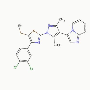 Cc1nn(-c2nc(-c3ccc(Cl)c(Cl)c3)c(SC(C)C)s2)c(C(=O)O)c1-c1cnc2ccccn12